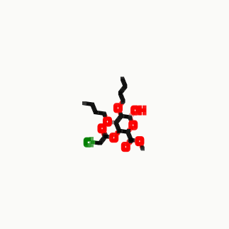 CCCCOC1[C@H](O)OC(C(=O)OC)[C@@H](OC(=O)CCl)[C@@H]1OCCCC